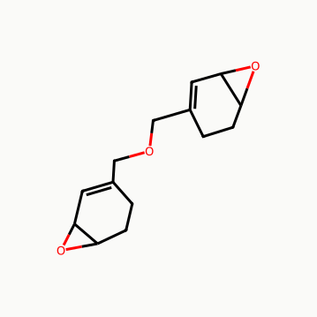 C1=C(COCC2=CC3OC3CC2)CCC2OC12